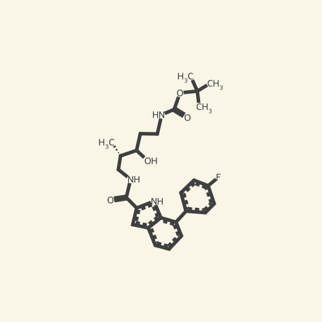 C[C@@H](CNC(=O)c1cc2cccc(-c3ccc(F)cc3)c2[nH]1)C(O)CCNC(=O)OC(C)(C)C